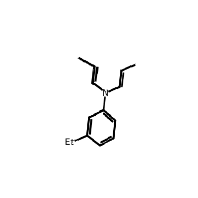 CC=CN(C=CC)c1cccc(CC)c1